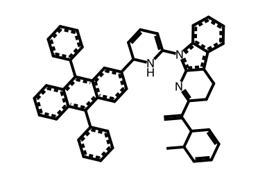 C=C(C1=Nc2c(c3ccccc3n2C2=CC=CC(c3ccc4c(-c5ccccc5)c5ccccc5c(-c5ccccc5)c4c3)N2)CC1)C1C=CC=CC1C